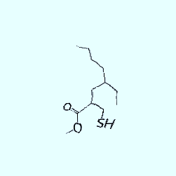 CCCCC(CC)CC(CS)C(=O)OC